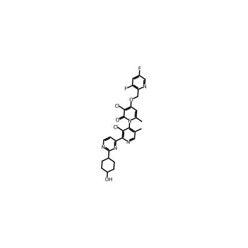 Cc1cnc(-c2ccnc(C3CCC(O)CC3)n2)c(Cl)c1-n1c(C)cc(OCc2ncc(F)cc2F)c(Cl)c1=O